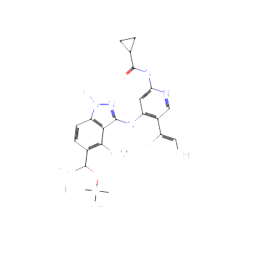 C/C=C(\F)c1cnc(NC(=O)C2CC2)cc1Nc1nn(C)c2ccc(C(O[Si](C)(C)C(C)(C)C)C(F)(F)F)c(OC)c12